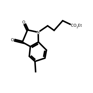 CCOC(=O)CCCN1C(=O)C(=O)c2cc(C)ccc21